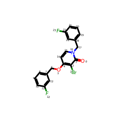 O=c1c(Br)c(OCc2cccc(F)c2)ccn1Cc1cccc(F)c1